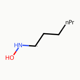 CCCCC[CH]NO